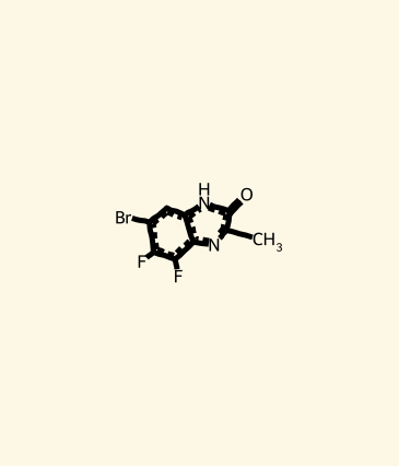 Cc1nc2c(F)c(F)c(Br)cc2[nH]c1=O